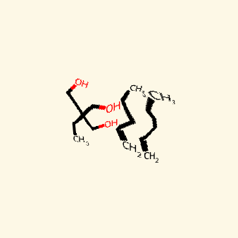 C=CCCC.C=CCCC.CCC(CO)(CO)CO